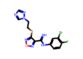 N=C(Nc1ccc(F)c(Br)c1)c1nonc1SCCn1cncn1